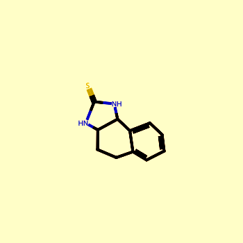 S=C1NC2CCc3ccccc3C2N1